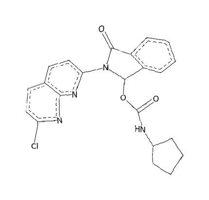 O=C(NC1CCCC1)OC1c2ccccc2C(=O)N1c1ccc2ccc(Cl)nc2n1